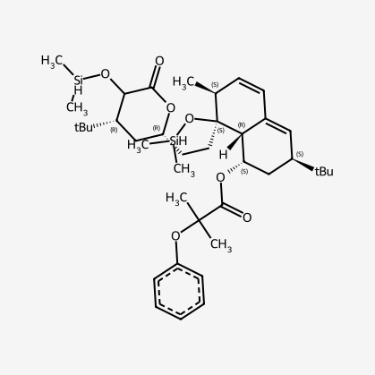 C[C@H]1C=CC2=C[C@@H](C(C)(C)C)C[C@H](OC(=O)C(C)(C)Oc3ccccc3)[C@@H]2[C@@]1(CC[C@@H]1C[C@H](C(C)(C)C)C(O[SiH](C)C)C(=O)O1)O[SiH](C)C